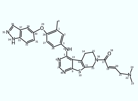 Cc1cc(Nc2ncnc3sc4c(c23)CCN(C(=O)/C=C/CN(C)C)C4)ccc1Oc1ccc2[nH]ncc2c1